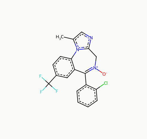 Cc1cnc2n1-c1ccc(C(F)(F)F)cc1C(c1ccccc1Cl)=[N+]([O-])C2